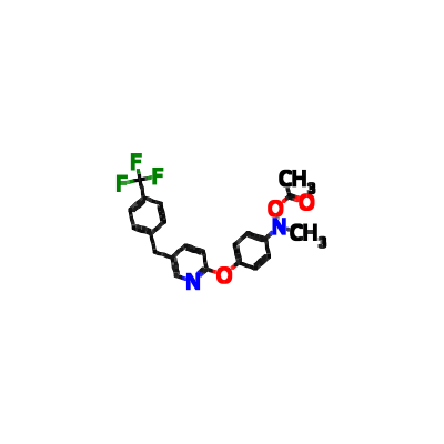 CC(=O)ON(C)c1ccc(Oc2ccc(Cc3ccc(C(F)(F)F)cc3)cn2)cc1